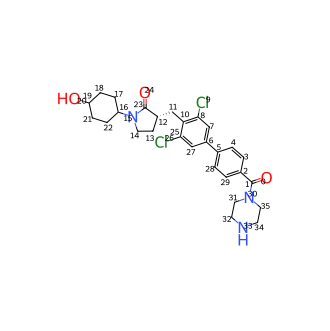 O=C(c1ccc(-c2cc(Cl)c(C[C@@H]3CCN(C4CCC(O)CC4)C3=O)c(Cl)c2)cc1)N1CCNCC1